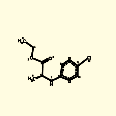 CCOC(=O)[C@H](C)Nc1ccc(Cl)cc1